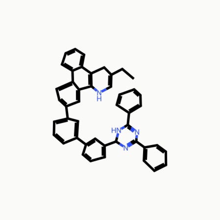 CCC1=CNc2c(c3ccccc3c3ccc(-c4cccc(-c5cccc(C6N=C(c7ccccc7)N=C(c7ccccc7)N6)c5)c4)cc23)C1